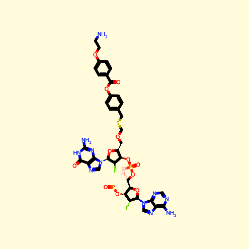 BP(=O)(OC[C@H]1O[C@@H](n2cnc3c(N)ncnc32)[C@H](F)[C@@H]1OP=O)O[C@H]1[C@@H](F)[C@H](n2cnc3c(=O)[nH]c(N)nc32)O[C@@H]1COCSCc1ccc(OC(=O)c2ccc(OCCN)cc2)cc1